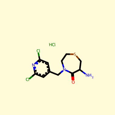 Cl.NC1CSCCN(Cc2cc(Cl)nc(Cl)c2)C1=O